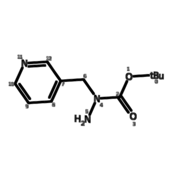 CC(C)(C)OC(=O)N(N)Cc1cccnc1